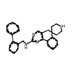 c1ccc(-c2ccccc2CNc2ncc3c(n2)-c2ccccc2C2(CCNCC2)C3)cc1